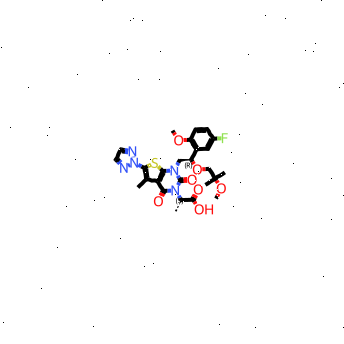 COc1ccc(F)cc1[C@H](Cn1c(=O)n([C@@H](C)C(=O)O)c(=O)c2c(C)c(-n3nccn3)sc21)OCC(C)(C)OC